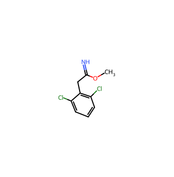 COC(=N)Cc1c(Cl)cccc1Cl